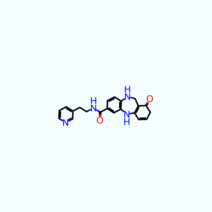 O=C1CC=CC2=C1CNc1ccc(C(=O)NCCc3cccnc3)cc1N2